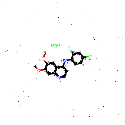 COc1cc2nccc(Nc3ccc(Cl)cc3F)c2cc1OC.Cl